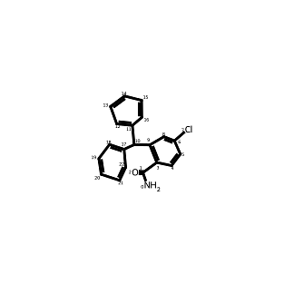 NC(=O)c1ccc(Cl)cc1C(c1ccccc1)c1ccccc1